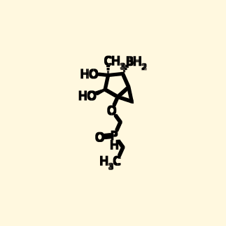 B[C@@H]1C2CC2(OC[PH](=O)CC)[C@@H](O)[C@@]1(C)O